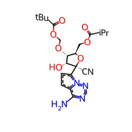 CC(C)C(=O)OC[C@H]1O[C@@](C#N)(c2ccc3c(N)ncnn23)[C@H](O)[C@@H]1OCOC(=O)C(C)(C)C